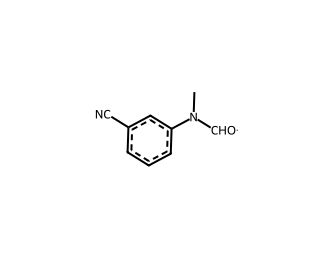 CN([C]=O)c1cccc(C#N)c1